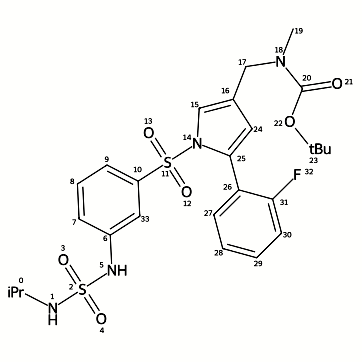 CC(C)NS(=O)(=O)Nc1cccc(S(=O)(=O)n2cc(CN(C)C(=O)OC(C)(C)C)cc2-c2ccccc2F)c1